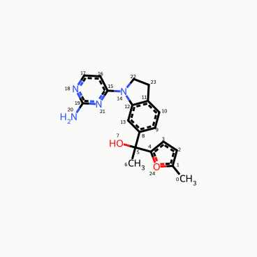 Cc1ccc(C(C)(O)c2ccc3c(c2)N(c2ccnc(N)n2)CC3)o1